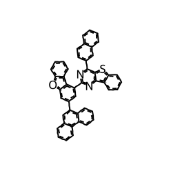 c1ccc2cc(-c3nc(-c4cc(-c5cc6ccccc6c6ccccc56)cc5oc6ccccc6c45)nc4c3sc3ccccc34)ccc2c1